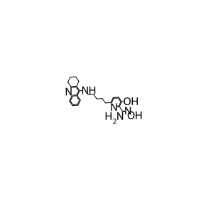 N/C(=N\O)c1nc(CCCCCNc2c3c(nc4ccccc24)CCCC3)ccc1O